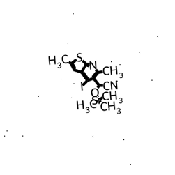 Cc1cc2c(I)c(C(C#N)O[Si](C)(C)C)c(C)nc2s1